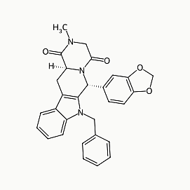 CN1CC(=O)N2[C@H](c3ccc4c(c3)OCO4)c3c(c4ccccc4n3Cc3ccccc3)C[C@H]2C1=O